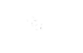 CN(CC(F)F)c1nc(N)c([N+](=O)[O-])cc1C(=O)N[C@H]1CC[C@H](C)CC1